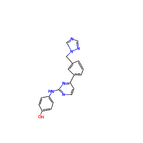 Oc1ccc(Nc2nccc(-c3cccc(Cn4cncn4)c3)n2)cc1